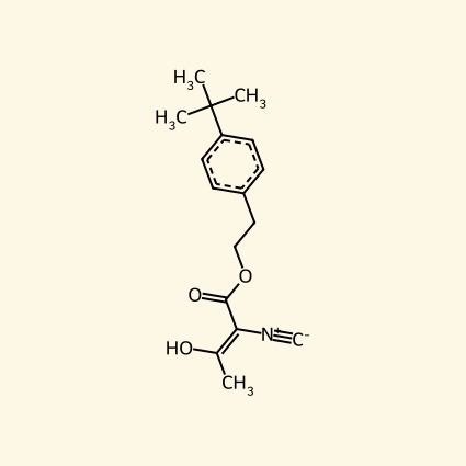 [C-]#[N+]/C(C(=O)OCCc1ccc(C(C)(C)C)cc1)=C(\C)O